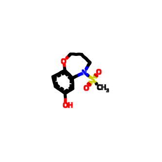 CS(=O)(=O)N1CCCOc2ccc(O)cc21